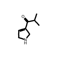 CC(C)C(=O)C1=CCNC1